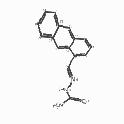 NC(=O)NN=Cc1cccc2cc3ccccc3cc12